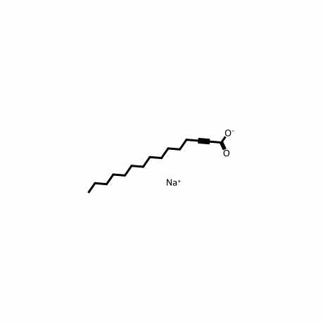 CCCCCCCCCCCCC#CC(=O)[O-].[Na+]